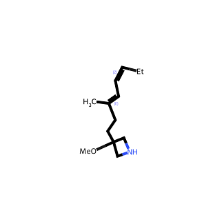 CC/C=C\C=C(/C)CCC1(OC)CNC1